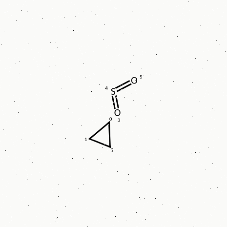 C1CC1.O=S=O